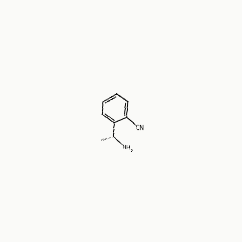 C[C@@H](N)c1ccccc1C#N